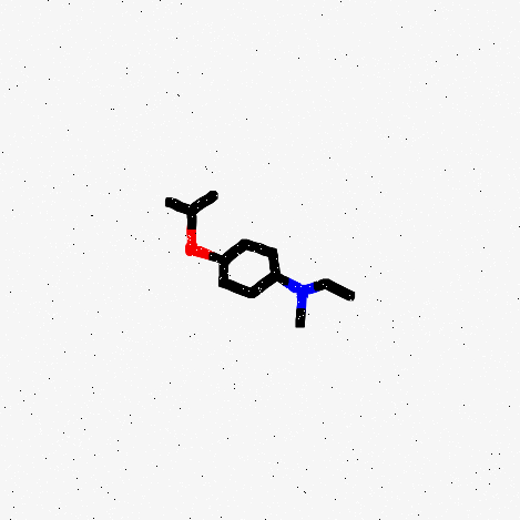 CCN(C)[C@H]1CC[C@@H](OC(C)C)CC1